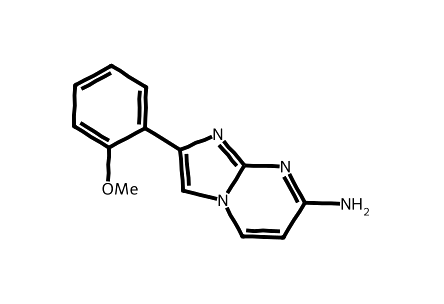 COc1ccccc1-c1cn2ccc(N)nc2n1